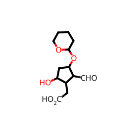 O=CC1C(OC2CCCCO2)CC(O)C1CC(=O)O